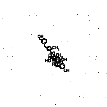 Cn1cc(Cc2cccc(CO)c2)cc1[C@@H]1O[C@@H]2C[C@H]3[C@@H]4CCC5=CC(O)C=C[C@]5(C)[C@H]4[C@@H](O)C[C@]3(C)[C@]2(C(=O)CO)O1